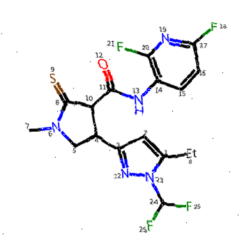 CCc1cc(C2CN(C)C(=S)C2C(=O)Nc2ccc(F)nc2F)nn1C(F)F